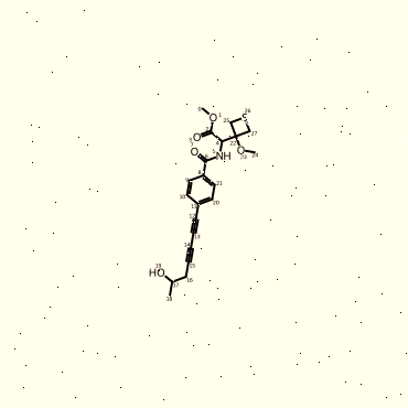 COC(=O)C(NC(=O)c1ccc(C#CC#CCC(C)O)cc1)C1(OC)CSC1